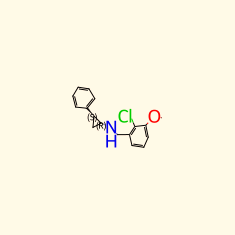 COc1cccc(CN[C@@H]2C[C@H]2c2ccccc2)c1Cl